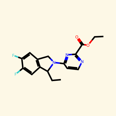 CCOC(=O)c1nccc(N2Cc3cc(F)c(F)cc3C2CC)n1